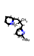 CC(C)(Cc1ccccn1)Cc1cccc(C(C)(C)C)n1